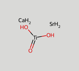 [CaH2].[O]=[Ti]([OH])[OH].[SrH2]